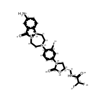 Nc1ccc2c(c1)c(=O)n1n2CCN(c2ccc(N3C[C@H](CNC(=O)C(F)F)OC3=O)cc2F)CC1